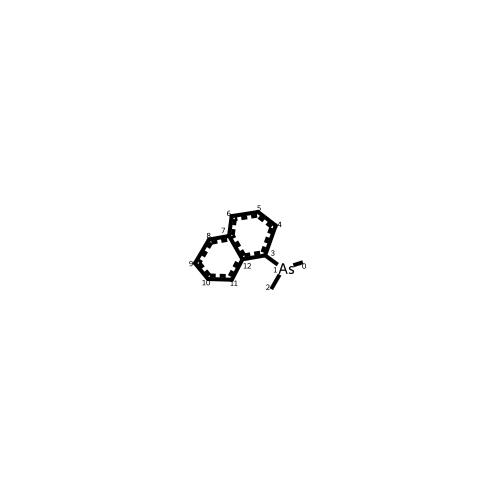 C[As](C)c1cccc2ccccc12